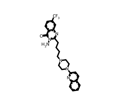 Nn1c(CCCCN2CCN(c3ccc4ccccc4n3)CC2)nc2cc(C(F)(F)F)ccc2c1=O